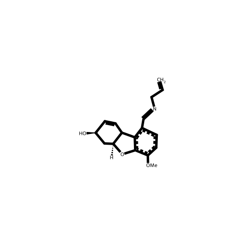 C=CC/N=C/c1ccc(OC)c2c1C1C=C[C@H](O)C[C@@H]1O2